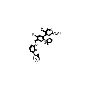 COc1cc(-c2cc(F)c(COc3cccc([C@@H](CC(=O)O)C4CC4)c3F)cc2[C@@H]2CCCC2(C)C)c(F)cn1